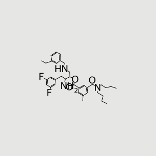 CCCCN(CCCC)C(=O)c1cc(C)cc(C(=O)OC(CNCc2cccc(CC)c2)C(N)Cc2cc(F)cc(F)c2)c1